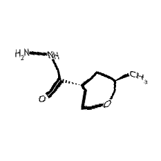 C[C@@H]1C[C@@H](C(=O)NN)CO1